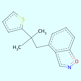 CC(C)(Cc1cccc2oncc12)c1cccs1